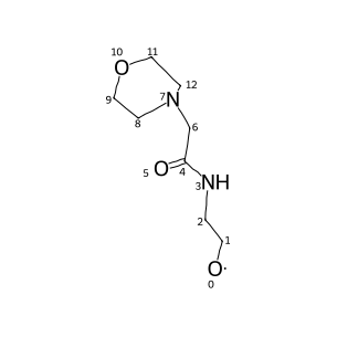 [O]CCNC(=O)CN1CCOCC1